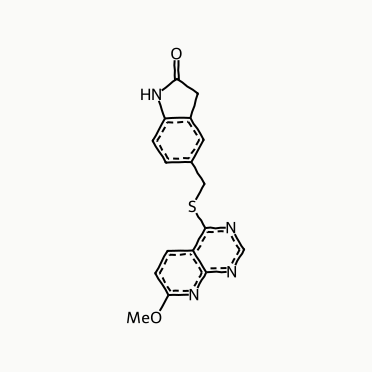 COc1ccc2c(SCc3ccc4c(c3)CC(=O)N4)ncnc2n1